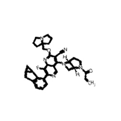 C=CC(=O)N1CC[C@@H]2[C@H]1CN2C1=C(C#N)C(OCC23CCCN2CCC3)=NC2C(F)=C(c3cccc4c3C3CC3C4)N=CC12